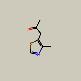 CC(=O)Cc1scnc1C